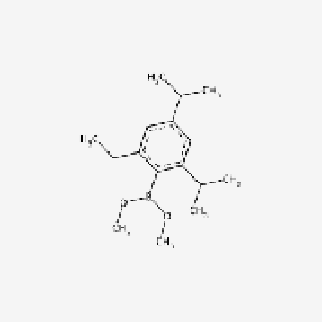 CCc1cc(C(C)C)cc(C(C)C)c1B(OC)OC